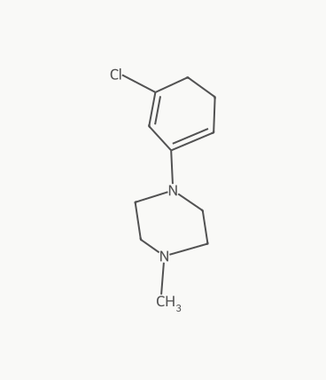 CN1CCN(C2=CCCC(Cl)=C2)CC1